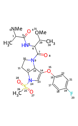 CNC(C)C(=O)NC(C(=O)N1CCC2C1C(Oc1ccc(F)cc1)=CN2S(C)(=O)=O)C(C)OC